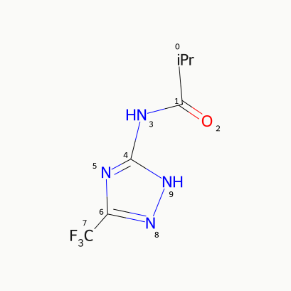 CC(C)C(=O)Nc1nc(C(F)(F)F)n[nH]1